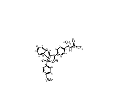 COc1ccc(S(=O)(=O)n2c(C(O)c3ccc([C@H](C)NC(=O)C(F)(F)F)cc3)cc3ccccc32)cc1